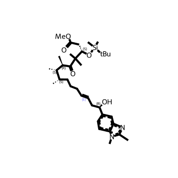 COC(=O)C[C@H](O[Si](C)(C)C(C)(C)C)C(C)(C)C(=O)[C@H](C)[C@@H](C)[C@@H](C)CCC/C=C/C[C@@H](O)c1ccc2c(c1)nc(C)n2C